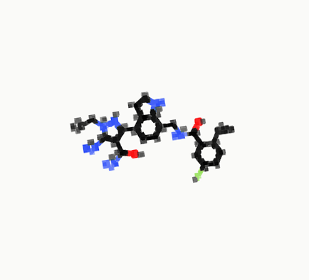 COc1ccc(F)cc1C(=O)NCc1ccc(-c2nn(CC(F)(F)F)c(N)c2C(N)=O)c2cc[nH]c12